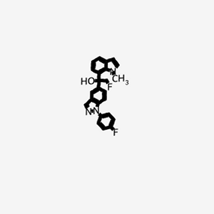 Cn1ccc2cccc(C(O)(CF)c3ccc4c(cnn4-c4ccc(F)cc4)c3)c21